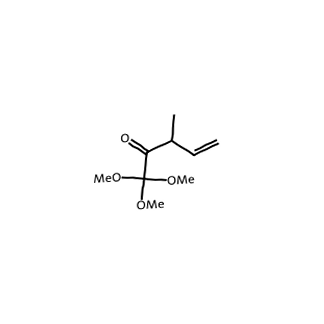 C=CC(C)C(=O)C(OC)(OC)OC